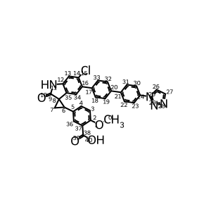 COc1ccc(C2CC23C(=O)Nc2cc(Cl)c(-c4ccc(-c5ccc(-n6ccnn6)cc5)cc4)cc23)cc1C(=O)O